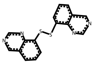 c1cc(SSc2cccc3cncnc23)c2ncncc2c1